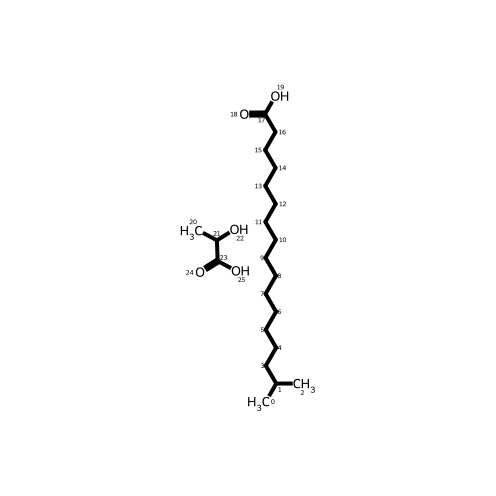 CC(C)CCCCCCCCCCCCCCC(=O)O.CC(O)C(=O)O